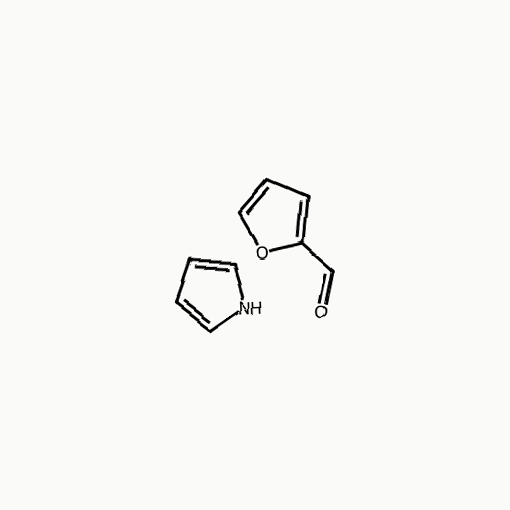 O=Cc1ccco1.c1cc[nH]c1